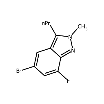 CCCc1c2cc(Br)cc(F)c2nn1C